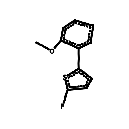 COc1ccccc1-c1ccc(F)s1